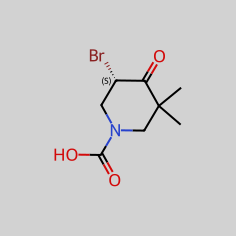 CC1(C)CN(C(=O)O)C[C@H](Br)C1=O